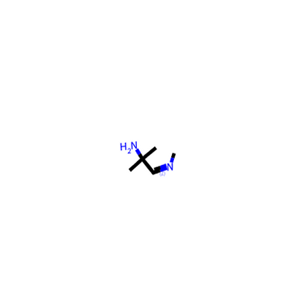 C/N=C\C(C)(C)N